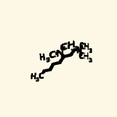 CCCCCC(C[CH]N(C)C)N(C)C